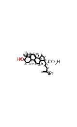 C=C(CC[C@@H](C(=O)O)C1CC[C@@]2(C)C3=CC[C@H]4C(C)(C)[C@@H](O)CC[C@]4(C)C3=CC[C@]12C)C(C)C